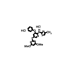 COc1cc(OC)nc(Sc2cnc(Nc3nc(C)cs3)c(Oc3ccccc3)c2)n1.Cl.Cl